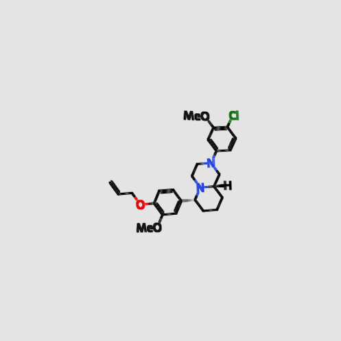 C=CCOc1ccc([C@H]2CCC[C@H]3CN(c4ccc(Cl)c(OC)c4)CCN32)cc1OC